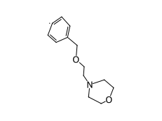 [c]1ccc(COCCN2CCOCC2)cc1